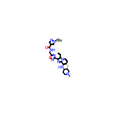 C=Cc1c(-c2noc(CNC(=O)c3cnn(C(C)(C)C)c3)n2)nc2c(N[C@@H]3CCN(C)C[C@@H]3F)cccn12